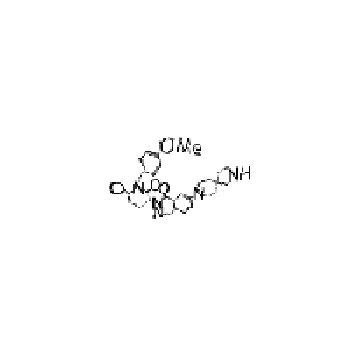 COc1ccc(CN2C(=O)CCC(n3ncc4ccc(N5CCC6(CCNC6)CC5)cc4c3=O)C2=O)cc1